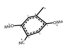 COc1cc(C#N)c(OC)cc1C